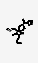 CSCCC1NC2(CCN(C(=O)c3cccs3)CC2)N(CC(=O)O)C1=O